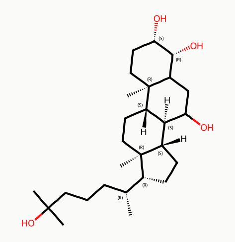 C[C@H](CCCC(C)(C)O)[C@H]1CC[C@H]2[C@@H]3C(O)CC4[C@@H](O)[C@@H](O)CC[C@]4(C)[C@H]3CC[C@]12C